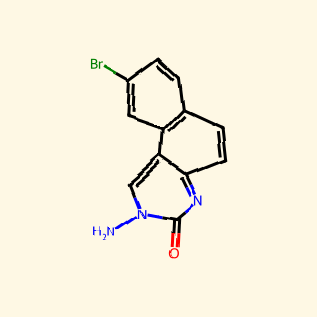 Nn1cc2c(ccc3ccc(Br)cc32)nc1=O